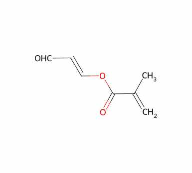 C=C(C)C(=O)OC=CC=O